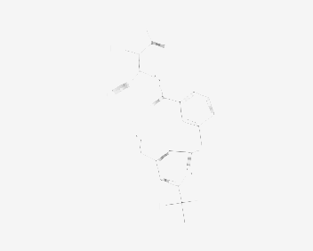 C#CC(NC(=O)c1cccc(Oc2cc(CN)cc(C(F)(F)F)n2)c1)C(C)C(=O)O